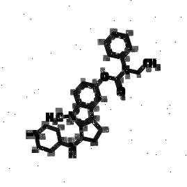 CCN(C(=O)Oc1ccc2c(c1)c1c(n2C)C(NC2CCNCC2)CC1)c1ccccc1